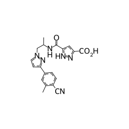 Cc1cc(-c2ccn(CC(C)NC(=O)c3cc(C(=O)O)n[nH]3)n2)ccc1C#N